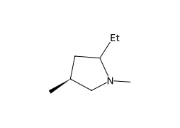 CCC1C[C@H](C)CN1C